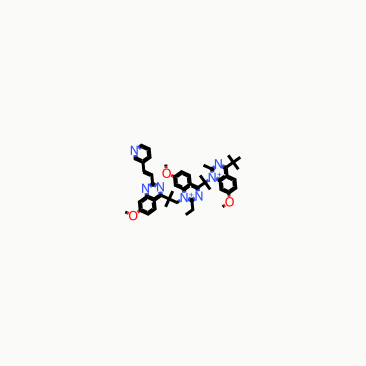 CCc1nc(C(C)(C)[n+]2c(C)nc(C(C)(C)C)c3ccc(OC)cc32)c2ccc(OC)cc2[n+]1CC(C)(C)c1nc(/C=C/c2cccnc2)nc2cc(OC)ccc12